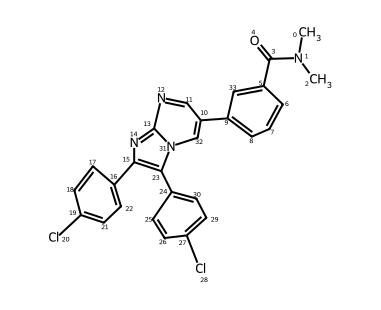 CN(C)C(=O)c1cccc(-c2cnc3nc(-c4ccc(Cl)cc4)c(-c4ccc(Cl)cc4)n3c2)c1